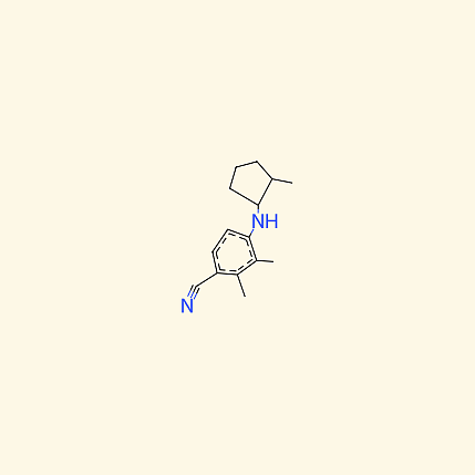 Cc1c(C#N)ccc(NC2CCCC2C)c1C